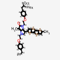 CCCCCCCCC(CCCCCC)Cc1ccc(OCCN2C(=O)C(C)=C3C2=C(c2cc4sc5c6sc(C)cc6sc5c4s2)CN3CCOc2ccc(CC(C)C)cc2)cc1